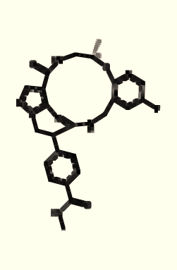 CNC(=O)c1ccc(C2Cn3ncc4c3N=C2NCc2cc(F)cnc2O[C@@H](C)CNC4=O)cc1